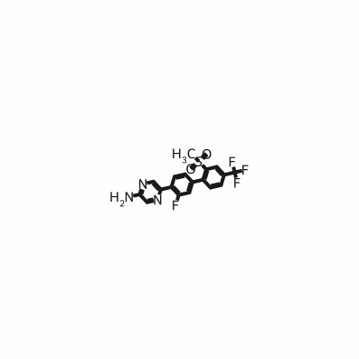 CS(=O)(=O)c1cc(C(F)(F)F)ccc1-c1ccc(-c2cnc(N)cn2)c(F)c1